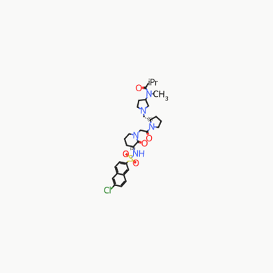 CC(C)C(=O)N(C)C1CCN(C[C@@H]2CCCN2C(=O)CN2CCC[C@H](NS(=O)(=O)c3ccc4cc(Cl)ccc4c3)C2=O)C1